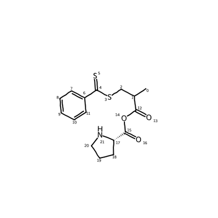 CC(CSC(=S)c1ccccc1)C(=O)OC(=O)[C@@H]1CCCN1